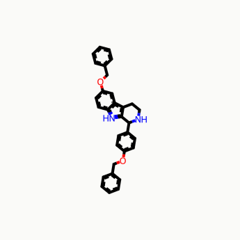 c1ccc(COc2ccc(C3NCCc4c3[nH]c3ccc(OCc5ccccc5)cc43)cc2)cc1